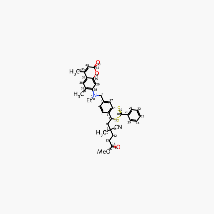 CCN(Cc1ccc(C(CC(C)(C#N)CCC(=O)OC)SC(=S)c2ccccc2)cc1)c1cc2oc(=O)cc(C)c2cc1C